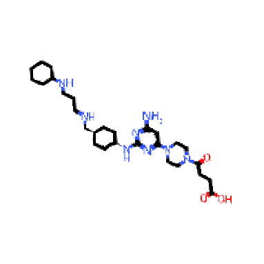 Nc1cc(N2CCN(C(=O)CCC(=O)O)CC2)nc(N[C@H]2CC[C@H](CNCCCNC3CCCCC3)CC2)n1